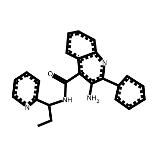 CCC(NC(=O)c1c(N)c(-c2ccccc2)nc2ccccc12)c1ccccn1